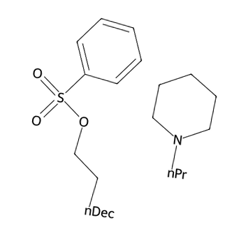 CCCCCCCCCCCCOS(=O)(=O)c1ccccc1.CCCN1CCCCC1